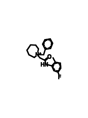 Cc1ccc(F)cc1NC(=O)C[N+]1(Cc2ccccc2)CCCCCC1